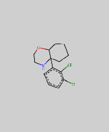 Clc1cccc(C23CCCCC2OCCN3)c1Cl